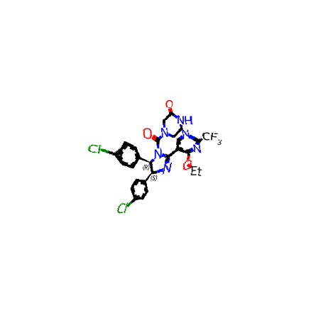 CCOc1nc(C(F)(F)F)ncc1C1=N[C@@H](c2ccc(Cl)cc2)[C@@H](c2ccc(Cl)cc2)N1C(=O)N1CCNC(=O)C1